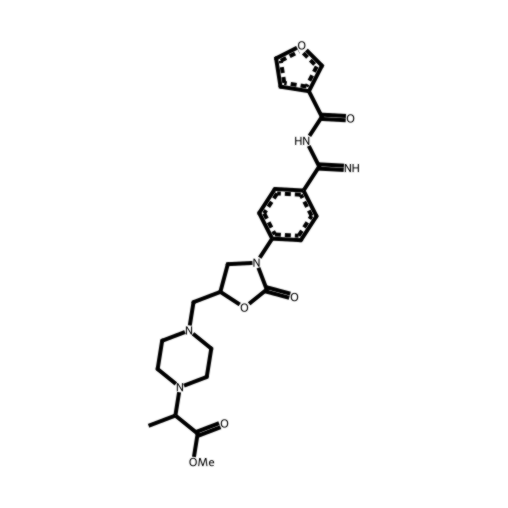 COC(=O)C(C)N1CCN(CC2CN(c3ccc(C(=N)NC(=O)c4ccoc4)cc3)C(=O)O2)CC1